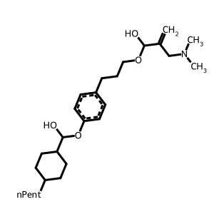 C=C(CN(C)C)C(O)OCCCc1ccc(OC(O)C2CCC(CCCCC)CC2)cc1